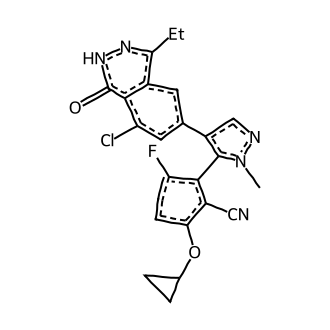 CCc1n[nH]c(=O)c2c(Cl)cc(-c3cnn(C)c3-c3c(F)ccc(OC4CC4)c3C#N)cc12